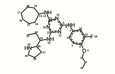 CCCOc1ccc(Nc2nc(NC3CCCCCC3)nc(NC(CC)C3CCCN3)n2)cc1F